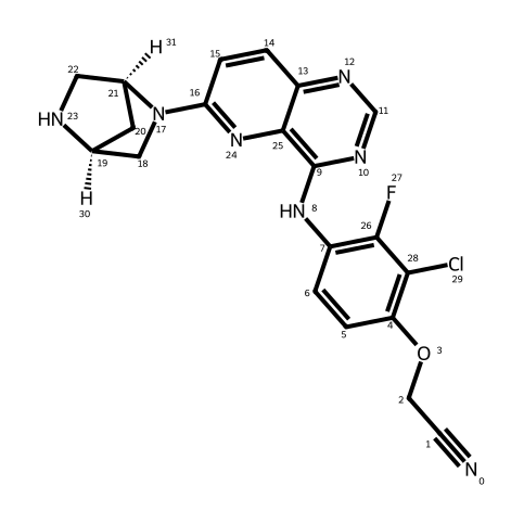 N#CCOc1ccc(Nc2ncnc3ccc(N4C[C@@H]5C[C@H]4CN5)nc23)c(F)c1Cl